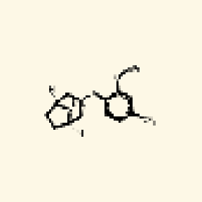 CCCOc1cc(C(F)(F)F)ccc1O[C@H]1C[C@H]2CC[C@@H](C1)N2C